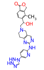 Cc1c(C(O)CN2CCc3nc(Nc4ccc(N5C=NNN5)cn4)ncc3C2)ccc2c1COC2=O